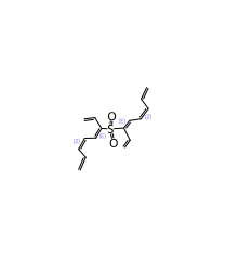 C=C/C=C\C=C(/C=C)S(=O)(=O)/C(C=C)=C/C=C\C=C